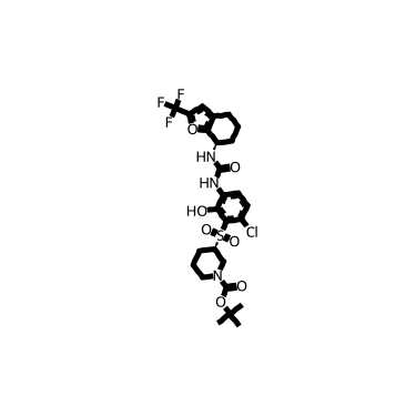 CC(C)(C)OC(=O)N1CCC[C@H](S(=O)(=O)c2c(Cl)ccc(NC(=O)N[C@H]3CCCc4cc(C(F)(F)F)oc43)c2O)C1